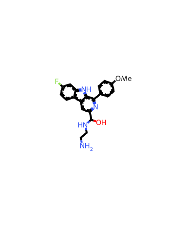 COc1ccc(-c2nc(C(O)NCCN)cc3c2[nH]c2cc(F)ccc23)cc1